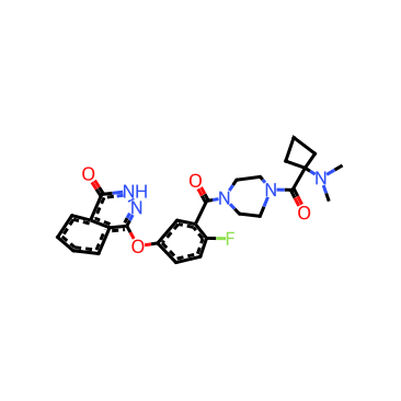 CN(C)C1(C(=O)N2CCN(C(=O)c3cc(Oc4n[nH]c(=O)c5ccccc45)ccc3F)CC2)CCC1